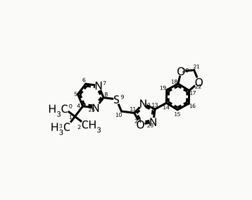 CC(C)(C)c1ccnc(SCc2nc(-c3ccc4c(c3)OCO4)no2)n1